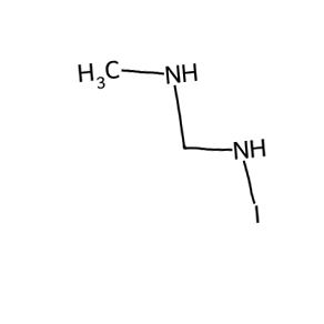 CNCNI